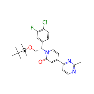 Cc1nccc(-c2ccn([C@H](CO[Si](C)(C)C(C)(C)C)c3ccc(Cl)c(F)c3)c(=O)c2)n1